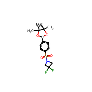 CC1(C)OB(c2ccc(S(=O)(=O)N3CC(F)(F)C3)cc2)OC1(C)C